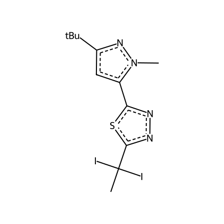 Cn1nc(C(C)(C)C)cc1-c1nnc(C(C)(I)I)s1